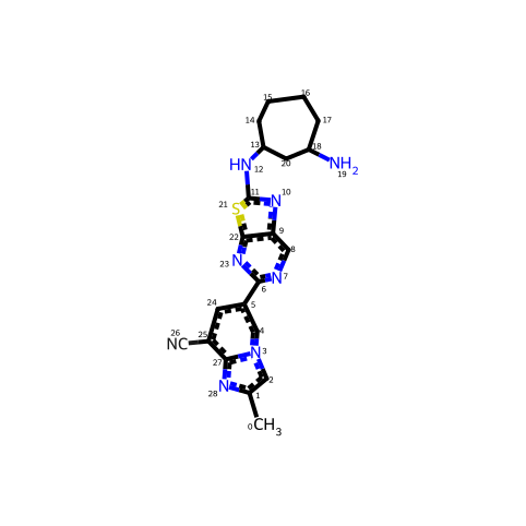 Cc1cn2cc(-c3ncc4nc(NC5CCCCC(N)C5)sc4n3)cc(C#N)c2n1